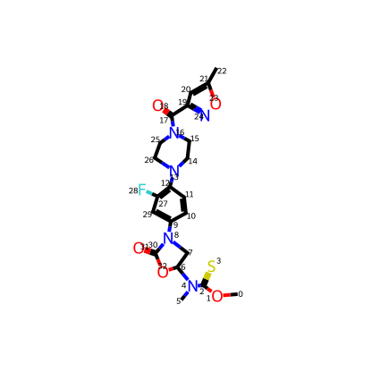 COC(=S)N(C)C1CN(c2ccc(N3CCN(C(=O)c4cc(C)on4)CC3)c(F)c2)C(=O)O1